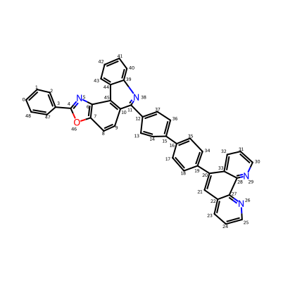 c1ccc(-c2nc3c(ccc4c(-c5ccc(-c6ccc(-c7cc8cccnc8c8ncccc78)cc6)cc5)nc5ccccc5c43)o2)cc1